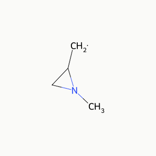 [CH2]C1CN1C